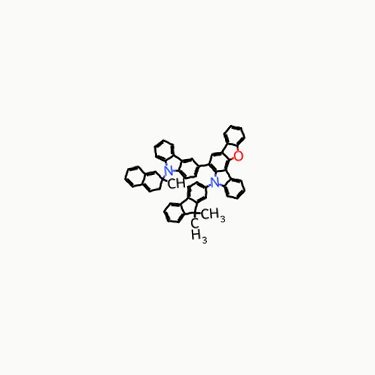 CC1(C)c2ccccc2-c2ccc(-n3c4ccccc4c4c5oc6ccccc6c5cc(-c5ccc6c(c5)c5ccccc5n6C5(C)C=c6ccccc6=CC5)c43)cc21